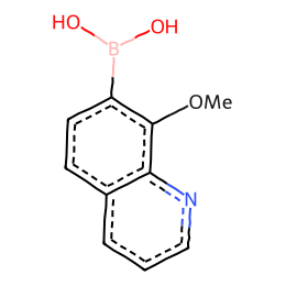 COc1c(B(O)O)ccc2cccnc12